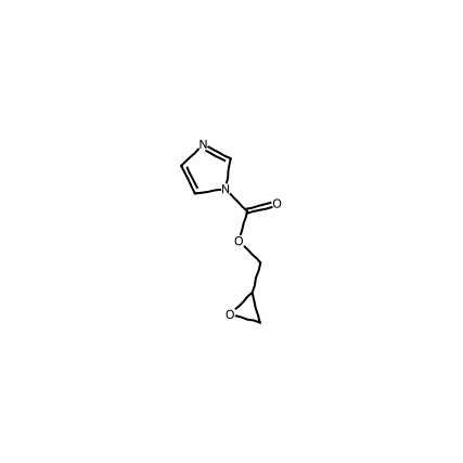 O=C(OCC1CO1)n1ccnc1